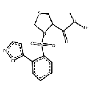 CC(C)N(C)C(=O)C1CSCN1S(=O)(=O)c1ccccc1-c1ccno1